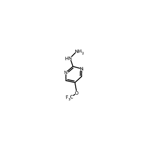 NNc1ncc(OC(F)(F)F)cn1